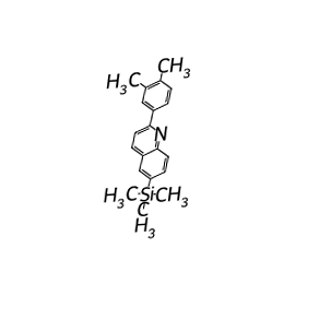 Cc1ccc(-c2ccc3cc([Si](C)(C)C)ccc3n2)cc1C